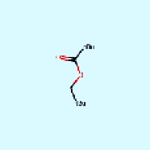 [CH2]CCCC(=O)OCC(C)(C)C